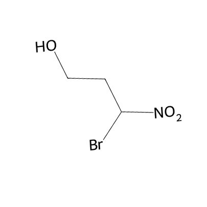 O=[N+]([O-])C(Br)CCO